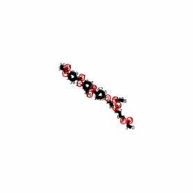 C=CC(=O)OCCCCOCC(COc1ccc(C(=O)Oc2ccc(OC(=O)c3ccc(OC(=O)C=C)cc3)cc2C)cc1)OC(=O)C=C